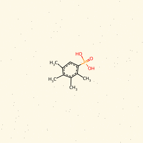 Cc1cc(P(=O)(O)O)c(C)c(C)c1C